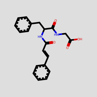 O=C(O)CNC(=O)C(Cc1[c]cccc1)NC(=O)C=Cc1ccccc1